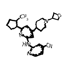 N#Cc1ccnc(Nc2cc(C3CCN(C4COC4)CC3)cc(C3CCCC3C(F)(F)F)n2)c1